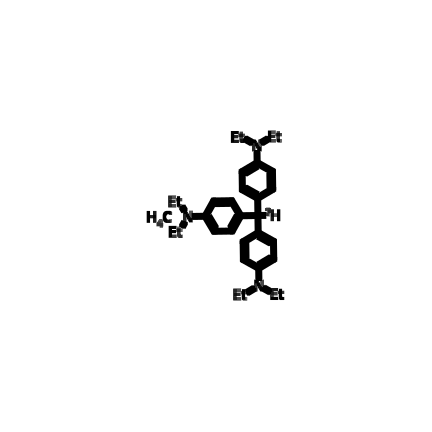 C.[2H]C(c1ccc(N(CC)CC)cc1)(c1ccc(N(CC)CC)cc1)c1ccc(N(CC)CC)cc1